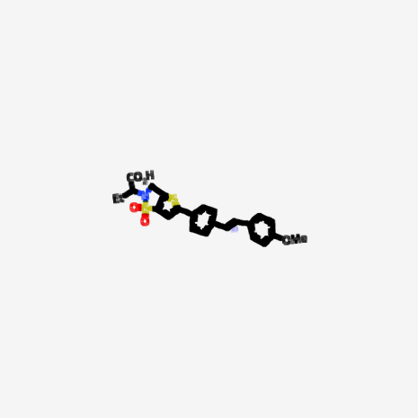 CCC(C(=O)O)N1Cc2sc(-c3ccc(/C=C/c4ccc(OC)cc4)cc3)cc2S1(=O)=O